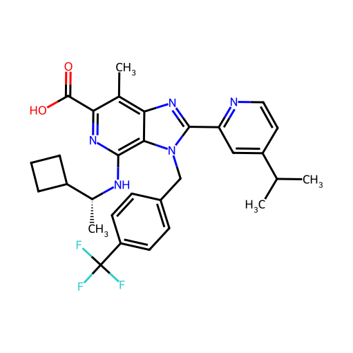 Cc1c(C(=O)O)nc(N[C@H](C)C2CCC2)c2c1nc(-c1cc(C(C)C)ccn1)n2Cc1ccc(C(F)(F)F)cc1